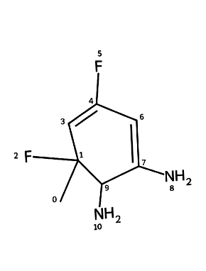 CC1(F)C=C(F)C=C(N)C1N